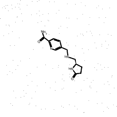 NC(=O)c1ccc(CNC[C@H]2CCC(=O)N2)cn1